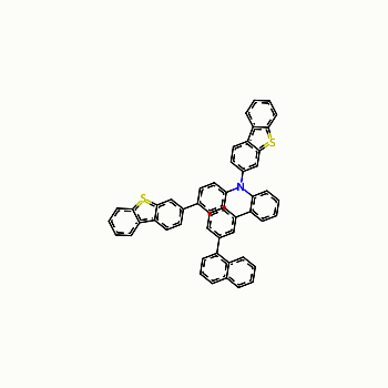 c1cc(-c2ccccc2N(c2ccc(-c3ccc4c(c3)sc3ccccc34)cc2)c2ccc3c(c2)sc2ccccc23)cc(-c2cccc3ccccc23)c1